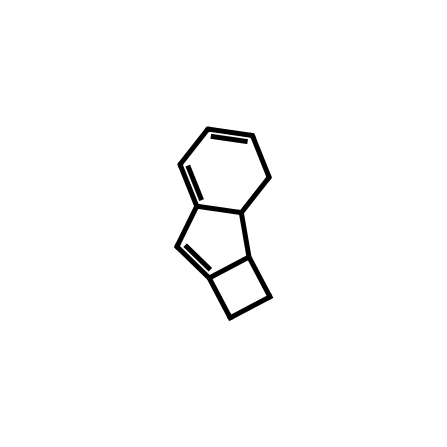 C1=CCC2C(=C1)C=C1CCC12